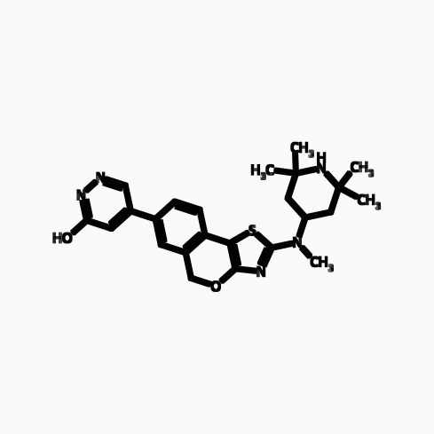 CN(c1nc2c(s1)-c1ccc(-c3cnnc(O)c3)cc1CO2)C1CC(C)(C)NC(C)(C)C1